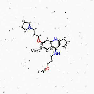 CCCOCCCNc1c2c(nc3cc(OCCCN4CCCC4)c(OC)cc13)CCC2